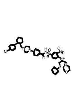 O=C(NS(=O)(=O)c1ccc(NC(CSc2ccccc2)CN2CCOCC2)c([N+](=O)[O-])c1)c1ccc(N2CCN(CC3=C(c4ccc(Cl)cc4)CCCC3)CC2)cc1